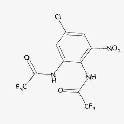 O=C(Nc1cc(Cl)cc([N+](=O)[O-])c1NC(=O)C(F)(F)F)C(F)(F)F